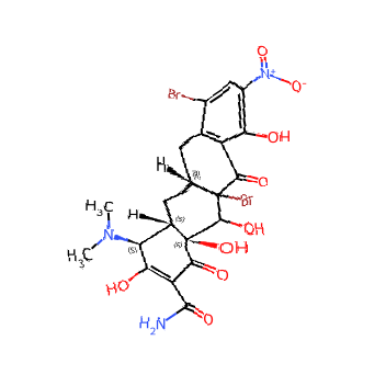 CN(C)[C@@H]1C(O)=C(C(N)=O)C(=O)[C@@]2(O)C(O)C3(Br)C(=O)c4c(O)c([N+](=O)[O-])cc(Br)c4C[C@H]3C[C@@H]12